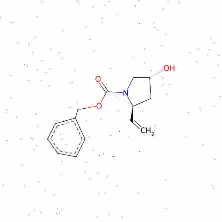 C=C[C@@H]1C[C@@H](O)CN1C(=O)OCc1ccccc1